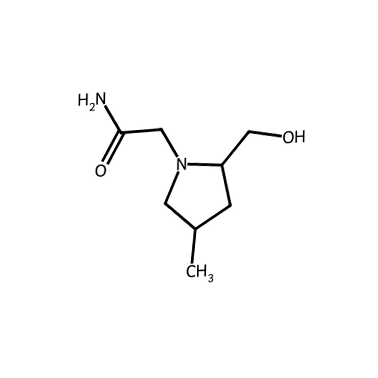 CC1CC(CO)N(CC(N)=O)C1